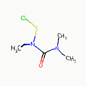 CN(C)C(=O)N(C)SCl